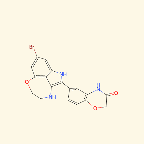 O=C1COc2ccc(-c3[nH]c4cc(Br)cc5c4c3NCCO5)cc2N1